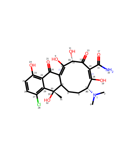 CN(C)[C@@H]1CCC2/C(=C(/O)[C@H](O)C(=O)/C(C(N)=O)=C\1O)C(=O)c1c(O)ccc(Cl)c1[C@@]2(C)O